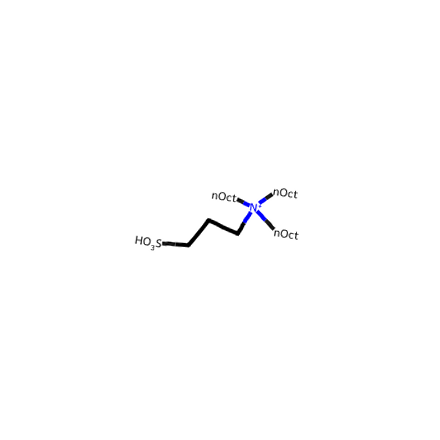 CCCCCCCC[N+](CCCCCCCC)(CCCCCCCC)CCCS(=O)(=O)O